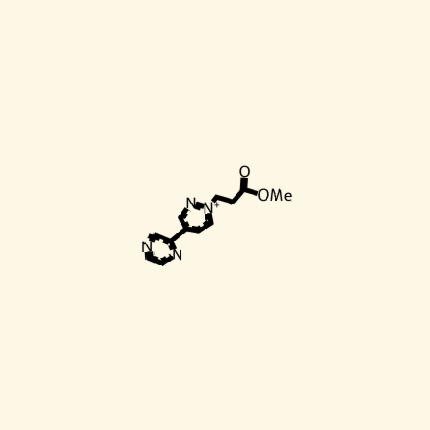 COC(=O)CC[n+]1ccc(-c2cnccn2)cn1